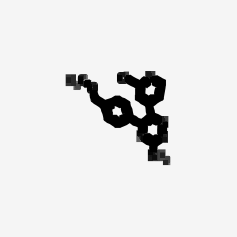 COCc1ccc(-c2nc(N)nnc2-c2ccnc(Cl)c2)cc1